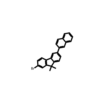 CC1(C)c2ccc(-c3ccc4ccccc4c3)cc2-c2ccc(Br)cc21